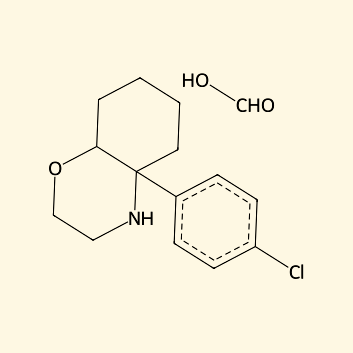 Clc1ccc(C23CCCCC2OCCN3)cc1.O=CO